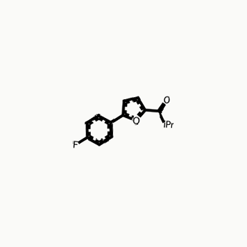 CC(C)C(=O)c1ccc(-c2ccc(F)cc2)o1